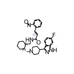 O=Nc1ccccc1/C=C/C(=O)NC[C@@H]1CCCC[C@H]1CN1CCC(c2n[nH]c3cc(F)ccc23)CC1